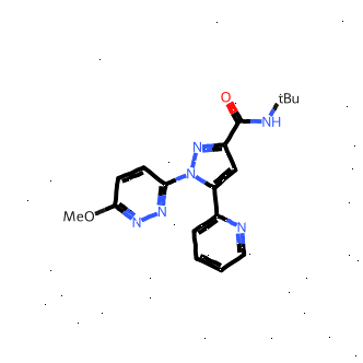 COc1ccc(-n2nc(C(=O)NC(C)(C)C)cc2-c2ccccn2)nn1